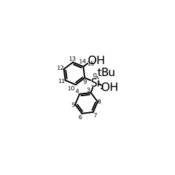 CC(C)(C)[Si](O)(c1ccccc1)c1ccccc1O